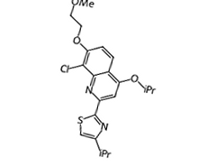 COCCOc1ccc2c(OC(C)C)cc(-c3nc(C(C)C)cs3)nc2c1Cl